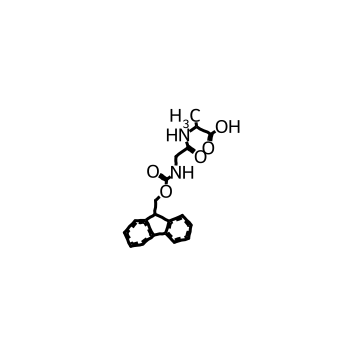 CC(NC(=O)CNC(=O)OCC1c2ccccc2-c2ccccc21)C(=O)O